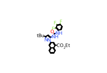 CCOC(=O)c1cc(-n2nc(C(C)(C)C)cc2NC(=O)Nc2ccc(F)c(F)c2F)cc2ccccc12